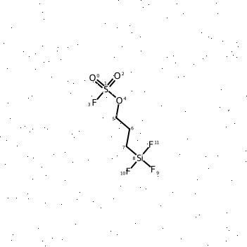 O=S(=O)(F)OCCC[Si](F)(F)F